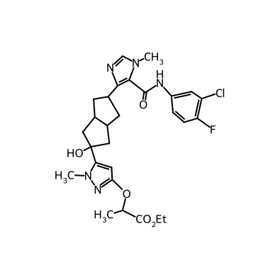 CCOC(=O)C(C)Oc1cc(C2(O)CC3CC(c4ncn(C)c4C(=O)Nc4ccc(F)c(Cl)c4)CC3C2)n(C)n1